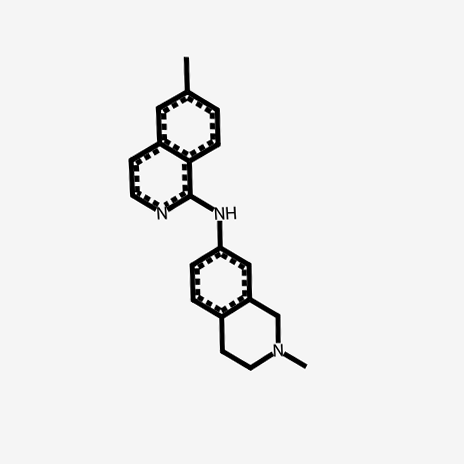 Cc1ccc2c(Nc3ccc4c(c3)CN(C)CC4)nccc2c1